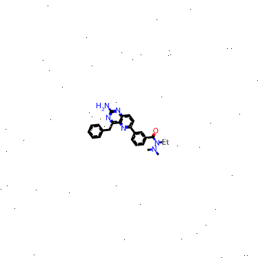 CCN(C(=O)c1cccc(-c2ccc3nc(N)nc(Cc4ccccc4)c3n2)c1)N(C)C